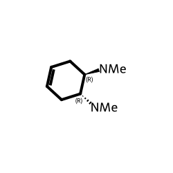 CN[C@@H]1CC=CC[C@H]1NC